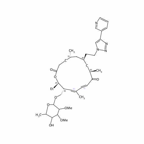 CC[C@H]1OC(=O)CC[C@H](C)C[C@@H](CCn2cc(-c3cccnc3)nn2)C[C@@H](C)C(=O)/C=C/C(C)=C/[C@@H]1COC1OC(C)C(O)C(OC)C1OC